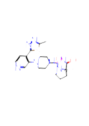 Cc1nnc(-c2ccncc2N2CCC(C(=O)N3CCC[C@]3(C)C(N)=O)CC2)s1